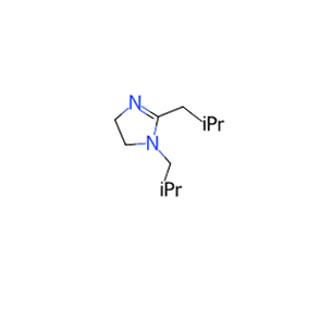 CC(C)CC1=NCCN1CC(C)C